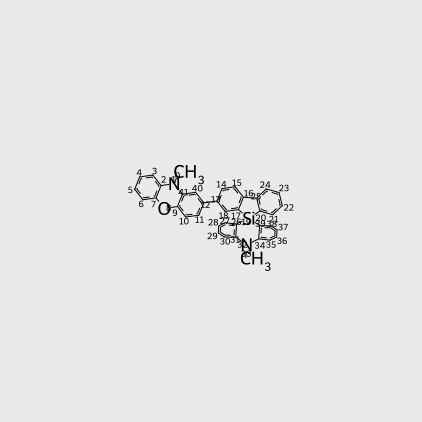 CN1c2ccccc2Oc2ccc(-c3ccc4c(c3)[Si]3(c5ccccc5-4)c4ccccc4N(C)c4ccccc43)cc21